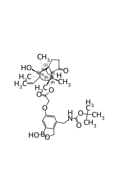 C=C[C@]1(C)C[C@@H](OC(=O)COc2cc(CNC(=O)OC(C)(C)C)c3c(c2)B(O)OC3)[C@]2(C)[C@H](C)CC[C@]3(CCC(=O)[C@H]32)[C@@H](C)[C@@H]1O